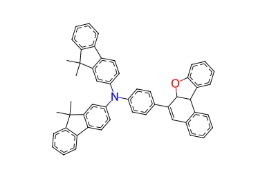 CC1(C)c2ccccc2-c2ccc(N(c3ccc(C4=Cc5ccccc5C5c6ccccc6OC45)cc3)c3ccc4c(c3)C(C)(C)c3ccccc3-4)cc21